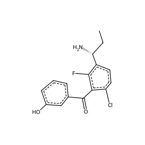 CC[C@@H](N)c1ccc(Cl)c(C(=O)c2cccc(O)c2)c1F